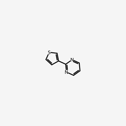 c1cnc(-c2ccsc2)nc1